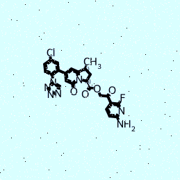 C[C@H]1C[C@@H](C(=O)OCC(=O)c2ccc(N)nc2F)n2c1cc(-c1cc(Cl)ccc1-n1cnnn1)cc2=O